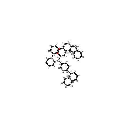 c1ccc(-c2ccccc2N(c2ccc(-c3cccc4ccccc34)cc2)c2ccc3ccc4sc5ccccc5c4c3c2)cc1